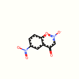 O=c1c[n+]([O-])oc2ccc([N+](=O)[O-])cc12